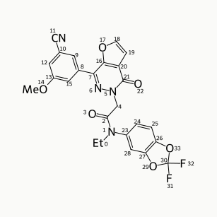 CCN(C(=O)Cn1nc(-c2cc(C#N)cc(OC)c2)c2occc2c1=O)c1ccc2c(c1)OC(F)(F)O2